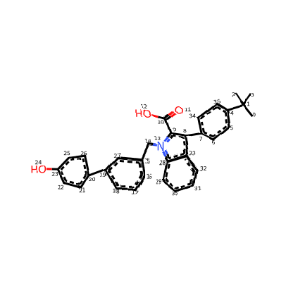 CC(C)(C)c1ccc(-c2c(C(=O)O)n(Cc3cccc(-c4ccc(O)cc4)c3)c3ccccc23)cc1